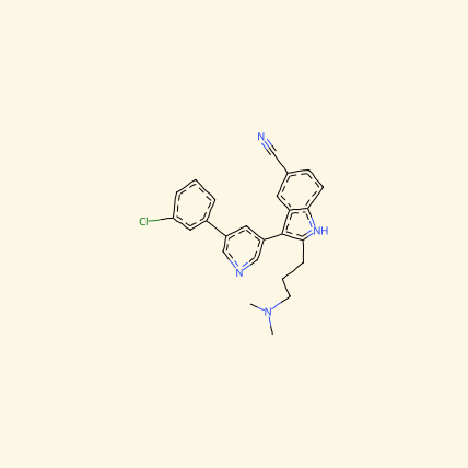 CN(C)CCCc1[nH]c2ccc(C#N)cc2c1-c1cncc(-c2cccc(Cl)c2)c1